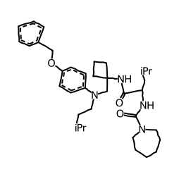 CC(C)CCN(CC1(NC(=O)C(CC(C)C)NC(=O)N2CCCCCC2)CCC1)c1ccc(OCc2ccccc2)cc1